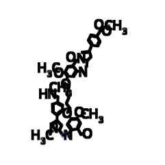 CNCc1ccc(C2=CN(C)C(/C=N\c3cc(OCCCCCOc4cc5c(cc4OC)C(=O)N4C=C(c6ccc(C(=O)OC)cc6)CC4C=N5)c(OC)cc3C=O)C2)cc1